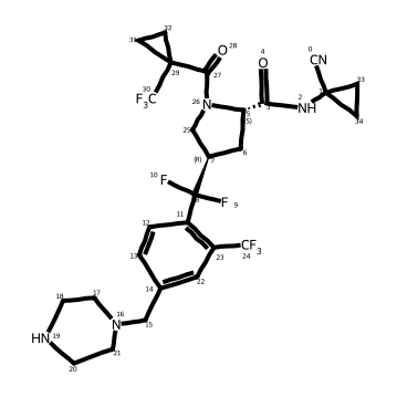 N#CC1(NC(=O)[C@@H]2C[C@@H](C(F)(F)c3ccc(CN4CCNCC4)cc3C(F)(F)F)CN2C(=O)C2(C(F)(F)F)CC2)CC1